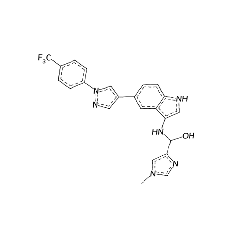 Cn1cnc(C(O)Nc2c[nH]c3ccc(-c4cnn(-c5ccc(C(F)(F)F)cc5)c4)cc23)c1